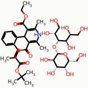 CCOC(=O)C1=C(C)NC(C)=C(C(=O)OCC)C1c1ccccc1/C=C/C(=O)OC(C)(C)C.OC[C@@H](O)[C@@H](O[C@@H]1O[C@H](CO)[C@H](O)[C@H](O)[C@H]1O)[C@H](O)[C@@H](O)CO